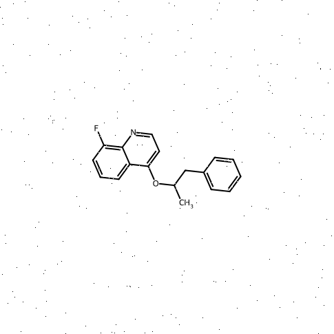 CC(Cc1ccccc1)Oc1ccnc2c(F)cccc12